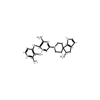 Nc1nc(N2CCC3(CC2)c2occc2C[C@H]3N)cnc1Sc1ccnc(N)c1Cl